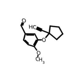 C#CC1(Oc2cc(C=O)ccc2OC)CCCC1